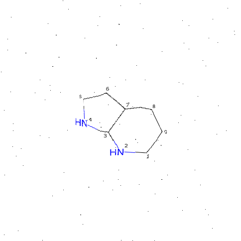 C1CNC2NCCC2C1